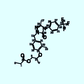 CCC(=O)OCC(C)Oc1ccc(Cn2nc(C)n(-c3ccc(C(F)(F)F)cc3)c2=O)cc1C